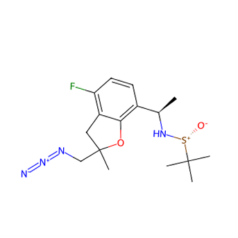 C[C@@H](N[S@+]([O-])C(C)(C)C)c1ccc(F)c2c1OC(C)(CN=[N+]=[N-])C2